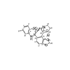 Cc1ccc(S(=O)(=O)O)c(NC(=O)c2ccc3c(c2C2CN4CC[C@@H]2C4)OCO3)c1